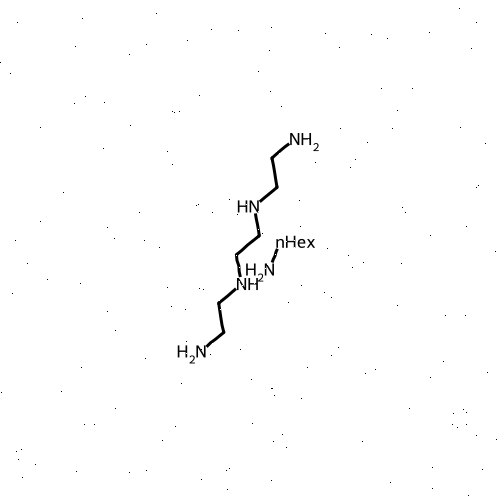 CCCCCCN.NCCNCCNCCN